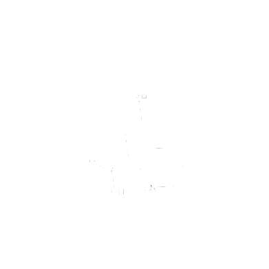 C1CCNCC1.CCCCC(=O)O